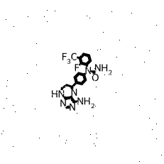 NC(=O)N(c1ccc(C2=Nc3c(N)ncnc3NCC2)cc1)c1cccc(C(F)(F)F)c1F